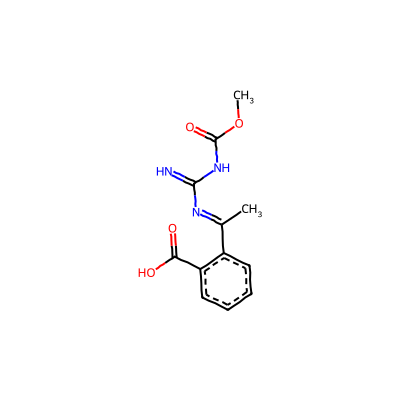 COC(=O)NC(=N)N=C(C)c1ccccc1C(=O)O